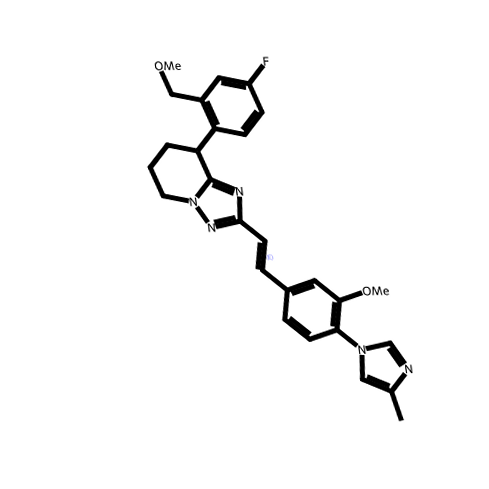 COCc1cc(F)ccc1C1CCCn2nc(/C=C/c3ccc(-n4cnc(C)c4)c(OC)c3)nc21